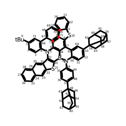 CC(C)(C)c1ccc(N2c3cc4c(sc5ccccc54)c4c3B(c3sc5cc6ccccc6cc5c32)N(c2ccc(C35CC6CC(CC(C6)C3)C5)cc2)c2ccc(C35CC6CC(CC(C6)C3)C5)cc2-4)c(-c2ccccc2)c1